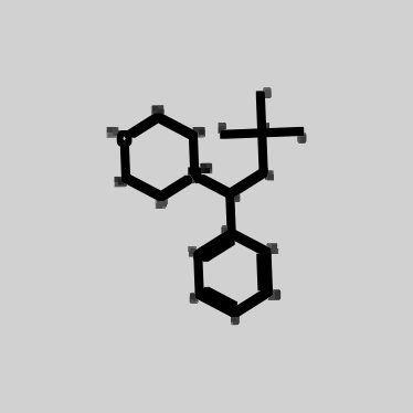 CC(C)(C)CC(c1ccccc1)N1CCOCC1